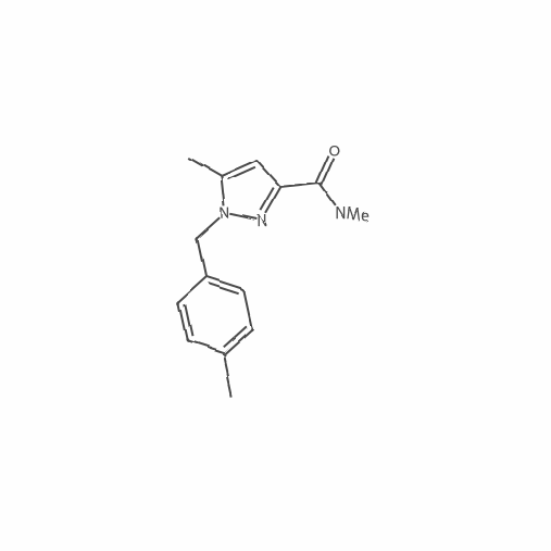 CNC(=O)c1cc(C)n(Cc2ccc(C)cc2)n1